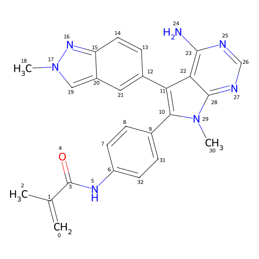 C=C(C)C(=O)Nc1ccc(-c2c(-c3ccc4nn(C)cc4c3)c3c(N)ncnc3n2C)cc1